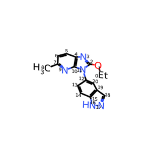 CCOc1nc2ccc(C)nc2n1-c1ccc2[nH]ncc2c1